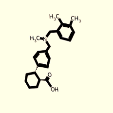 Cc1cccc(CN(C)Cc2ccc([C@H]3CCCC[C@@H]3C(=O)O)cc2)c1C